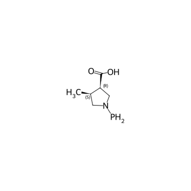 C[C@@H]1CN(P)C[C@@H]1C(=O)O